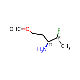 C[C@@H](F)[C@@H](N)CCOC=O